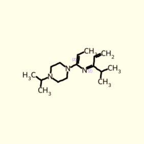 C=C/C(=N\C(=C/C)N1CCN(C(C)C)CC1)C(C)C